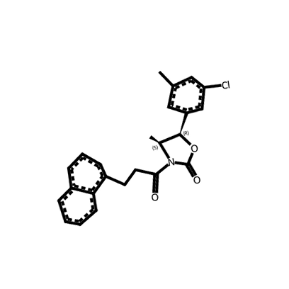 Cc1cc(Cl)cc([C@H]2OC(=O)N(C(=O)CCc3cccc4ccccc34)[C@H]2C)c1